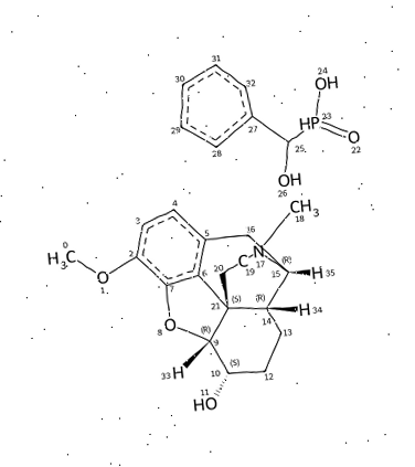 COc1ccc2c3c1O[C@H]1[C@@H](O)CC[C@H]4[C@@H](C2)N(C)CC[C@@]341.O=[PH](O)C(O)c1ccccc1